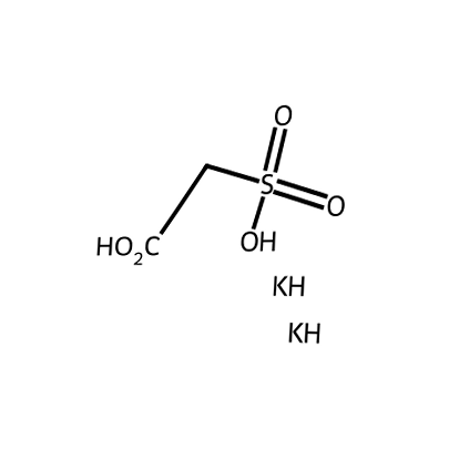 O=C(O)CS(=O)(=O)O.[KH].[KH]